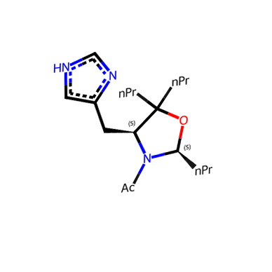 CCC[C@@H]1OC(CCC)(CCC)[C@H](Cc2c[nH]cn2)N1C(C)=O